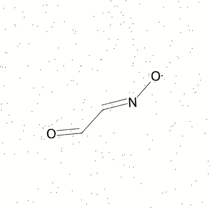 [O]N=CC=O